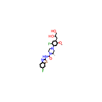 COc1cc(N2CCN(C(=O)Nc3nc4ccc(F)cc4s3)[C@@H](C)C2)c(F)cc1C[C@H](O)CO